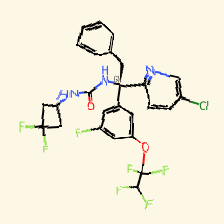 O=C(NC1CC(F)(F)C1)N[C@@](Cc1ccccc1)(c1cc(F)cc(OC(F)(F)C(F)F)c1)c1ccc(Cl)cn1